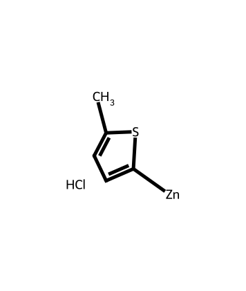 Cc1cc[c]([Zn])s1.Cl